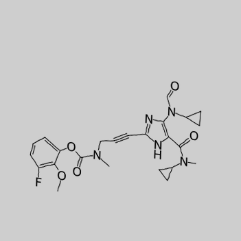 COc1c(F)cccc1OC(=O)N(C)CC#Cc1nc(N(C=O)C2CC2)c(C(=O)N(C)C2CC2)[nH]1